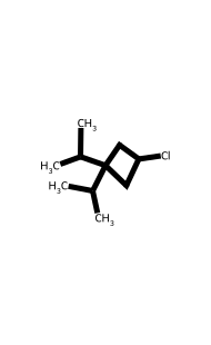 CC(C)C1(C(C)C)CC(Cl)C1